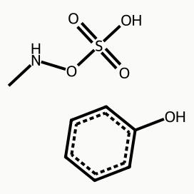 CNOS(=O)(=O)O.Oc1ccccc1